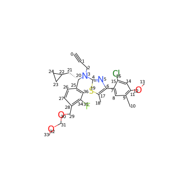 C#CCN(c1nc(-c2cc(C)c(OC)cc2Cl)c(C)s1)[C@@H](CC1CC1)c1ccc(COCOC)c(F)c1